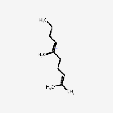 CCC/C=C(\C)CCC=C(C)C